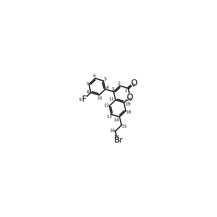 O=c1cc(-c2cccc(F)c2)c2ccc(CCBr)cc2o1